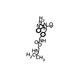 C=C(C)CNCCOC(=O)NCc1ccc(Cn2c(C3CCO3)nc3c(N)nc4ccccc4c32)cc1